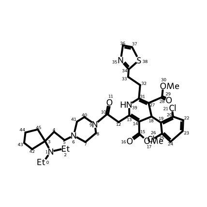 CCN(CC)C1(CCN2CCN(C(=O)CC3=C(C(=O)OC)C(c4c(Cl)cccc4Cl)C(C(=O)OC)=C(CCc4nccs4)N3)CC2)CCCC1